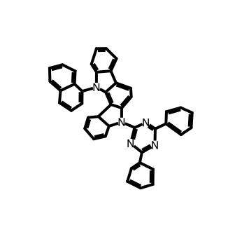 C1=CC2c3c(ccc4c5ccccc5n(-c5cccc6ccccc56)c34)N(c3nc(-c4ccccc4)nc(-c4ccccc4)n3)C2C=C1